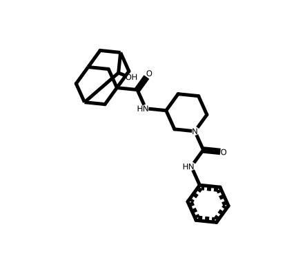 O=C(Nc1ccccc1)N1CCCC(NC(=O)C23CC4CC(C2)C(O)C(C4)C3)C1